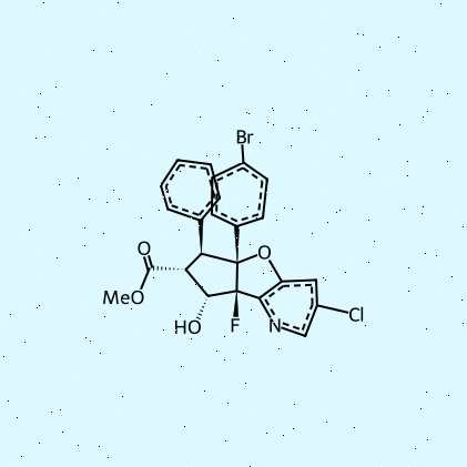 COC(=O)[C@H]1[C@@H](O)[C@@]2(F)c3ncc(Cl)cc3O[C@@]2(c2ccc(Br)cc2)[C@@H]1c1ccccc1